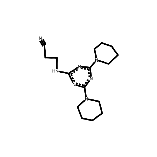 N#CCCNc1nc(N2CCCCC2)nc(N2CCCCC2)n1